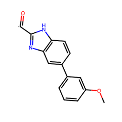 COc1cccc(-c2ccc3[nH]c([C]=O)nc3c2)c1